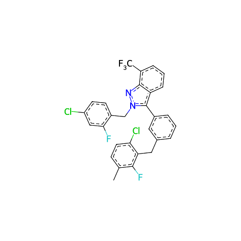 Cc1ccc(Cl)c(Cc2cccc(-c3c4cccc(C(F)(F)F)c4nn3Cc3ccc(Cl)cc3F)c2)c1F